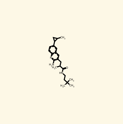 CC(Cc1cc2cc(C3CC3C)ccc2nc1N)C(=O)NCCC(C)(C)C